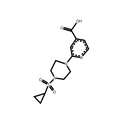 O=C(O)c1ccnc(N2CCN(S(=O)(=O)C3CC3)CC2)c1